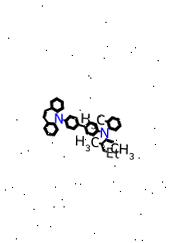 C/C=C(\C(C)=C/CC)N(c1ccc(-c2ccc(N3c4ccccc4C=Cc4ccccc43)cc2)cc1)c1ccccc1C